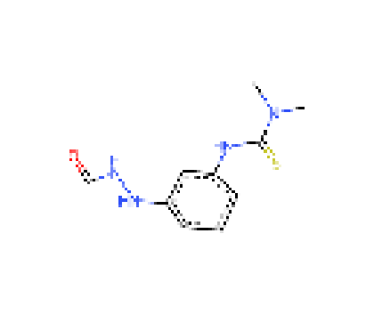 CN(C)C(=S)Nc1cccc(NNC=O)c1